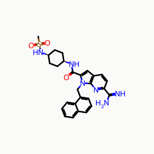 CS(=O)(=O)N[C@H]1CC[C@@H](NC(=O)c2cc3ccc(C(=N)N)nc3n2Cc2cccc3ccccc23)CC1